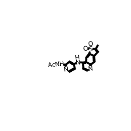 CC(=O)Nc1cc(Nc2ccnc3cc4c(cc23)S(=O)(=O)C(C)=C4)ccn1